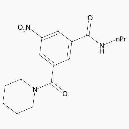 CCCNC(=O)c1cc(C(=O)N2CCCCC2)cc([N+](=O)[O-])c1